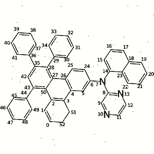 C1=Cc2c(c3cc(N(c4cnccn4)c4cccc5ccccc45)ccc3c3c(-c4ccccc4)c(-c4ccccc4)cc(-c4ccccc4)c23)CC1